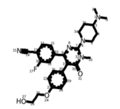 CN(C)C1CCN(c2nc(-c3ccc(C#N)c(F)c3)c(-c3ccc(OCCO)cc3)c(=O)n2C)CC1